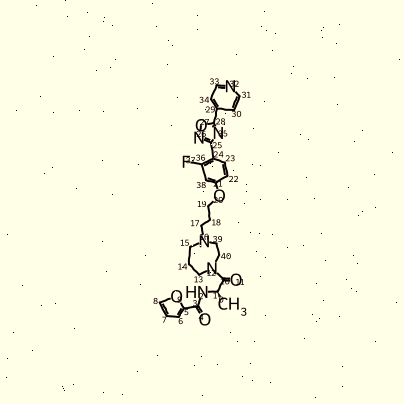 C[C@@H](NC(=O)c1ccco1)C(=O)N1CCCN(CCCOc2ccc(-c3noc(-c4ccncc4)n3)c(F)c2)CC1